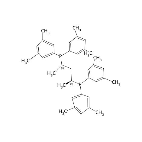 Cc1cc(C)cc(P(c2cc(C)cc(C)c2)[C@@H](C)C[C@H](C)P(c2cc(C)cc(C)c2)c2cc(C)cc(C)c2)c1